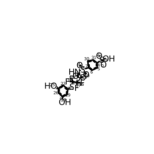 O=S(=O)(O)c1ccc(S(=O)(=O)NS(=O)(=O)C(F)(F)C(F)(F)Sc2cc(O)cc(O)c2)cc1